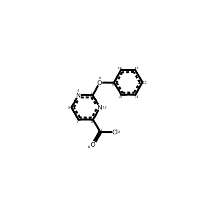 O=C(Cl)c1ccnc(Oc2ccccc2)n1